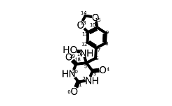 O=C1NC(=O)C(Cc2ccc3c(c2)OCO3)(NO)C(=O)N1